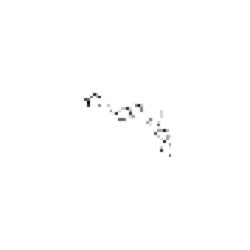 CCS(=O)(=O)c1ccc(CC(=O)Nc2ccc3c(n2)CCC(CCc2ccc(Cl)cc2)C3=O)c(F)c1